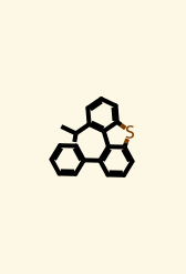 CC(C)c1cccc2sc3cccc(-c4ccccc4)c3c12